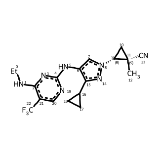 CCNc1nc(Nc2cn([C@@H]3C[C@]3(C)C#N)nc2C2CC2)ncc1C(F)(F)F